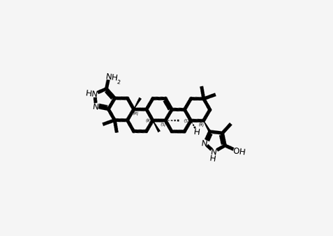 Cc1c([C@@H]2CC(C)(C)CC3C4=CCC5[C@@]6(C)Cc7c(n[nH]c7N)C(C)(C)C6CC[C@@]5(C)[C@]4(C)CC[C@@H]32)n[nH]c1O